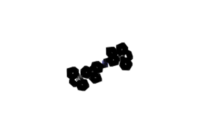 C1=Cc2ccccc2N(c2ccc3c(c2)C2(CCCC2)c2cc(/C=C/c4ccc(N5c6ccccc6C=Cc6ccccc65)c5ccccc45)ccc2-3)c2ccccc21